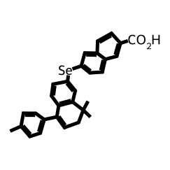 Cc1ccc(C2=CCC(C)(C)c3cc([Se]c4ccc5cc(C(=O)O)ccc5c4)ccc32)cc1